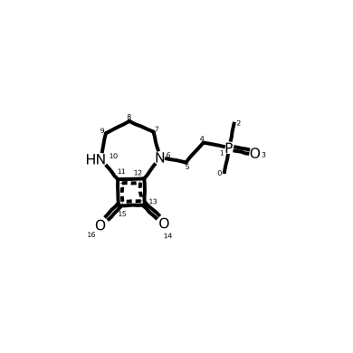 CP(C)(=O)CCN1CCCNc2c1c(=O)c2=O